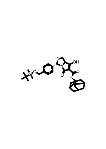 CC(C)(C)[Si](C)(C)OCc1ccc([C@@H]2SCC3C(O)=C(C(=O)NC45CC6CC(CC(C6)C4)C5)C(=O)N32)cc1